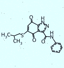 CC(C)CSC1=CC(=O)c2[nH]nc(C(=O)Nc3ccccc3)c2C1=O